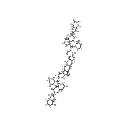 c1ccc(N(c2ccc3c(c2)oc2cc4cc5oc6cc(N(c7ccccc7)c7cccc8cc(-c9cc%10ccccc%10o9)ccc78)ccc6c5cc4cc23)c2cccc3cc(-c4cc5ccccc5o4)ccc23)cc1